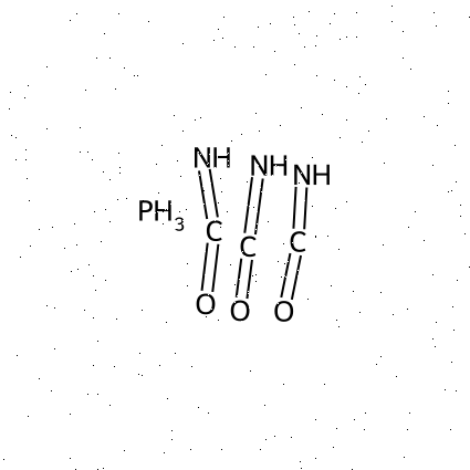 N=C=O.N=C=O.N=C=O.P